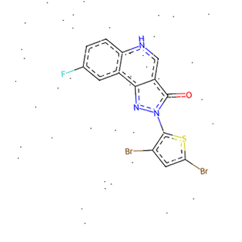 O=c1c2c[nH]c3ccc(F)cc3c-2nn1-c1sc(Br)cc1Br